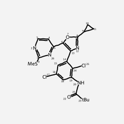 CSc1nccc(-c2oc(C3CC3)nc2-c2cc(Cl)cc(NC(=O)C(C)(C)C)c2Cl)n1